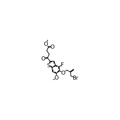 C=C(CBr)COc1c(OC)cc2sc(C(=O)CCC(=O)OC)cc2c1F